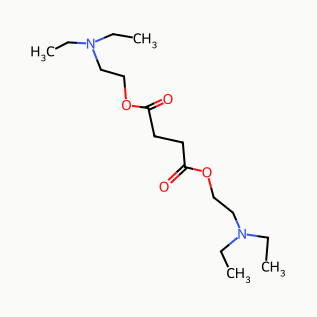 CCN(CC)CCOC(=O)CCC(=O)OCCN(CC)CC